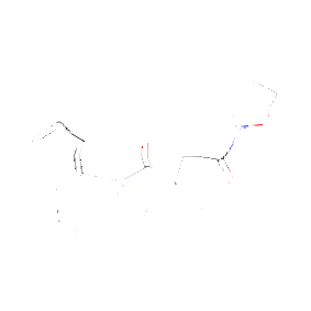 Cc1ccccc1NC(=O)C(C)(Cl)CC(=O)N1CCCO1